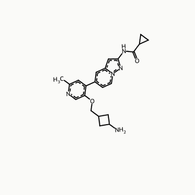 Cc1cc(-c2ccn3nc(NC(=O)C4CC4)cc3c2)c(OCC2CC(N)C2)cn1